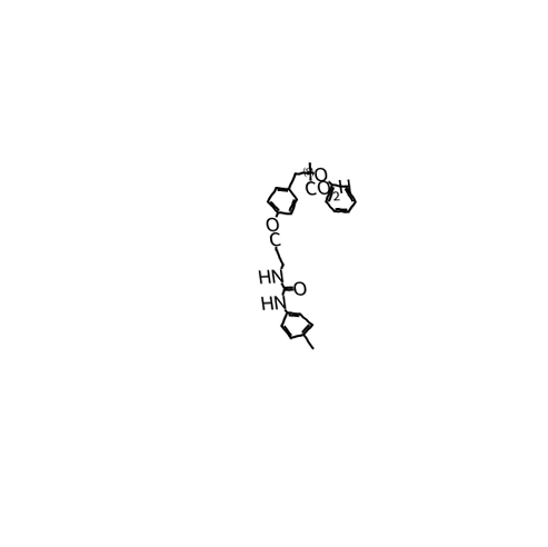 Cc1ccc(NC(=O)NCCCOc2ccc(C[C@](C)(Oc3ccccc3)C(=O)O)cc2)cc1